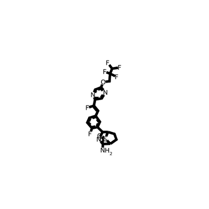 NC1=NC(c2cc(/C=C(\F)c3cnc(OCC(F)(F)C(F)F)cn3)ccc2F)C2CCC1S2(=O)=O